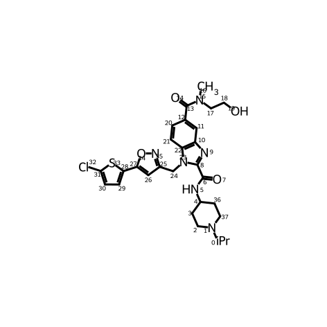 CC(C)N1CCC(NC(=O)c2nc3cc(C(=O)N(C)CCO)ccc3n2Cc2cc(-c3ccc(Cl)s3)on2)CC1